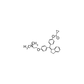 CN(C)CCOc1ccc(C(=C2CCc3ccccc32)c2ccc(OC(=O)C3CC3)cc2)cc1